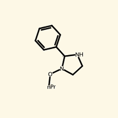 CCCON1CCN[C]1c1ccccc1